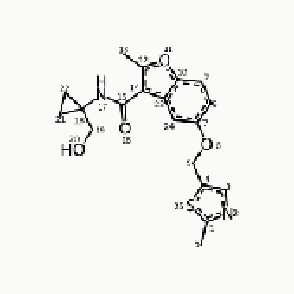 Cc1ncc(COc2ccc3oc(C)c(C(=O)NC4(CO)CC4)c3c2)s1